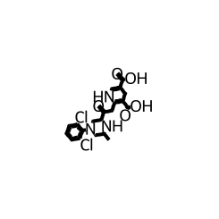 CC1CN(c2c(Cl)cccc2Cl)CC(C(=O)CC2=C(C(=O)O)CC(C(=O)O)=CN2)N1